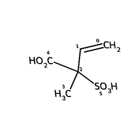 C=CC(C)(C(=O)O)S(=O)(=O)O